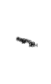 CCOC(Cc1ccc(-c2cccc(CN(C)C(=O)c3ccc(-c4ccccc4)cc3)c2)cc1)C(=O)O